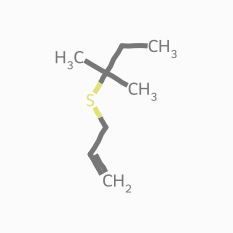 C=CCSC(C)(C)CC